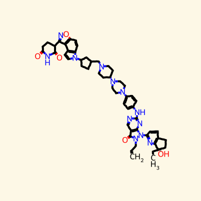 C=CCn1c(=O)c2cnc(Nc3ccc(N4CCN(C5CCN(CC6CCC(n7ccc8c9c(C%10CCC(=O)NC%10=O)noc9ccc87)C6)CC5)CC4)cc3)nc2n1-c1ccc2c(n1)[C@@](O)(CC)CC2